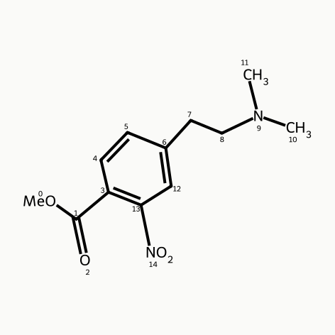 COC(=O)c1ccc(CCN(C)C)cc1[N+](=O)[O-]